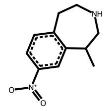 CC1CNCCc2ccc([N+](=O)[O-])cc21